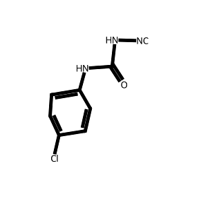 [C-]#[N+]NC(=O)Nc1ccc(Cl)cc1